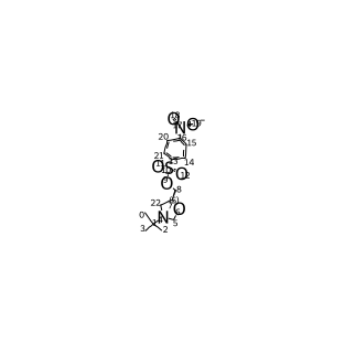 CC(C)(C)N1CO[C@H](COS(=O)(=O)c2ccc([N+](=O)[O-])cc2)C1